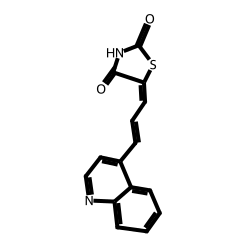 O=C1NC(=O)C(=CC=Cc2ccnc3ccccc23)S1